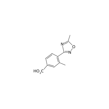 Cc1nc(-c2ccc(C(=O)O)cc2C)no1